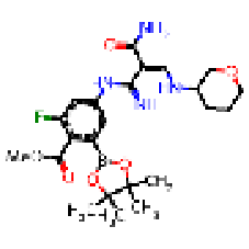 COC(=O)c1c(F)cc(NC(=N)/C(=C\NC2CCCOC2)C(N)=O)cc1B1OC(C)(C)C(C)(C)O1